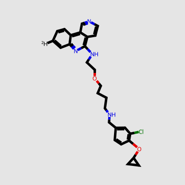 [2H]c1ccc2c(c1)nc(NCCOCCCCNCc1ccc(OC3CC3)c(Cl)c1)c1ccncc12